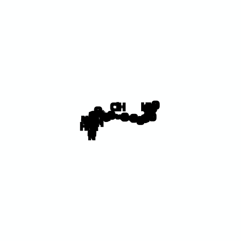 C[C@@H](NC(=O)c1cccc(NC2(c3nnc(-c4ccncc4)[nH]3)CCN(C)CC2)c1)c1cccc(OCCCCCOCCCOCCOc2ccc3c(c2)CN(C2CCC(=O)NC2=O)C3=O)c1.Cl